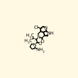 CC(C)[C@H](C(=O)N1CCC[C@@H]1N)N1Cc2c(Cl)cnc3[nH]cc(c23)C1=O